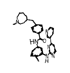 Cc1ccc(NC(=O)c2ccc(CC3CCCCN(C)CC3)cc2)cc1Nc1nccc(-c2cccnc2)n1